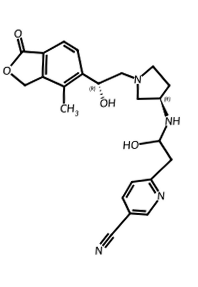 Cc1c([C@@H](O)CN2CC[C@@H](NC(O)Cc3ccc(C#N)cn3)C2)ccc2c1COC2=O